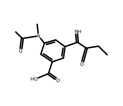 CCC(=O)C(=N)c1cc(C(=O)O)cc(N(C)C(C)=O)c1